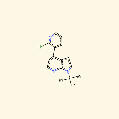 CC(C)[Si](C(C)C)(C(C)C)n1ccc2c(-c3cccnc3Cl)ccnc21